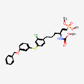 CCOP(=O)(C=CC(CCCc1ccc(Sc2cccc(OCc3ccccc3)c2)cc1Cl)NC(=O)OC(C)(C)C)OCC